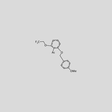 COc1ccc(COc2cccc(OCC(F)(F)F)c2C(C)=O)cc1